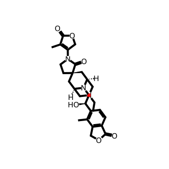 CCN1C[C@@H]2C[C@]3(CCN(C4=C(C)C(=O)OC4)C3=O)C[C@H](C1)N2C[C@H](O)c1ccc2c(c1C)COC2=O